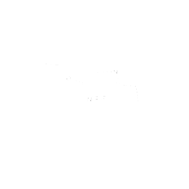 CCOc1cnc(CC)cn1